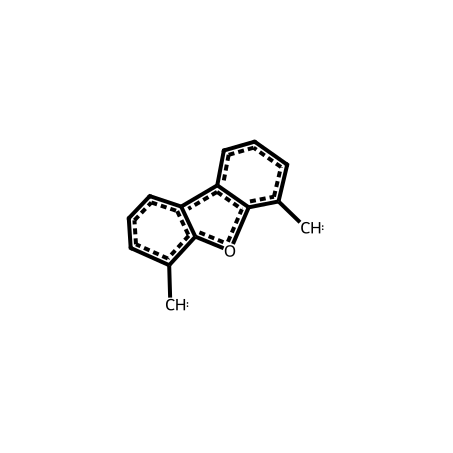 [CH]c1cccc2c1oc1c([CH])cccc12